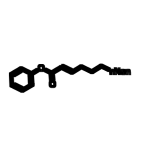 CCCCCCCCCCCCC=CC(=O)Oc1ccccc1